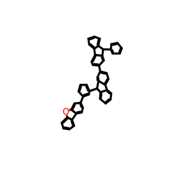 c1ccc(C2c3ccccc3-c3ccc(-c4ccc5c(c4)C(c4cccc(-c6ccc7c(c6)oc6ccccc67)c4)c4ccccc4-5)cc32)cc1